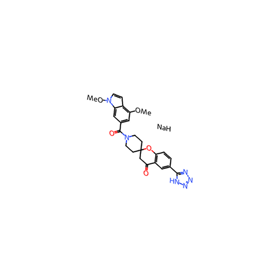 COc1cc(C(=O)N2CCC3(CC2)CC(=O)c2cc(-c4nnn[nH]4)ccc2O3)cc2c1ccn2OC.[NaH]